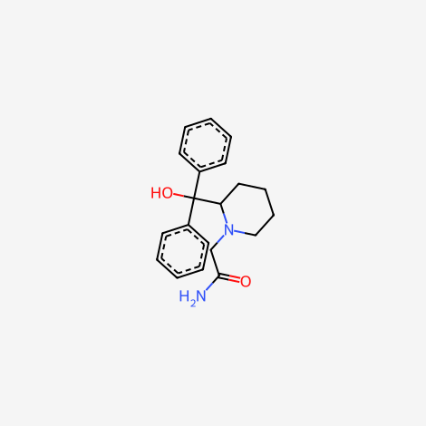 NC(=O)CN1CCCCC1C(O)(c1ccccc1)c1ccccc1